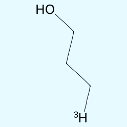 [3H]CCCO